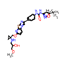 COCC(O)CNC1(COc2ccc3c(n2)sc2nc(-c4ccc(NC(=O)Nc5cc(C(C)(C)C)on5)cc4)cn23)CC1